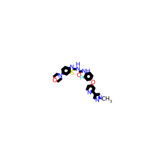 Cn1cc(-c2cc(Oc3ccc(NC(=O)Nc4nc5ccc(N6CCOCC6)cc5s4)c(F)c3)ccn2)cn1